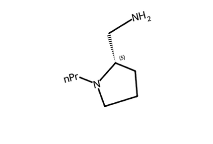 CCCN1CCC[C@H]1CN